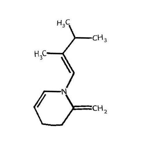 C=C1CCC=CN1/C=C(\C)C(C)C